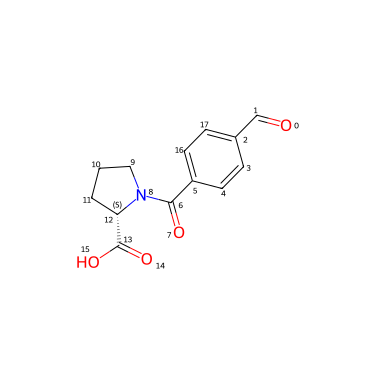 O=Cc1ccc(C(=O)N2CCC[C@H]2C(=O)O)cc1